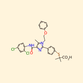 Cc1c(C(=O)Nc2ccc(Cl)cc2Cl)nc(-c2ccc(SC(C)(C)C(=O)O)cc2)n1CCOc1ccccc1